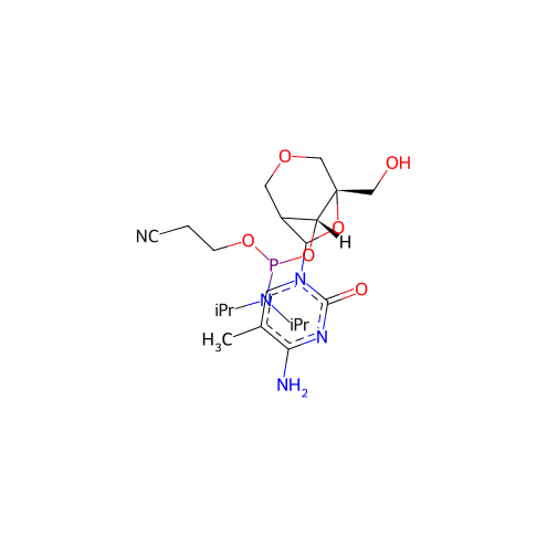 Cc1cn(C2O[C@@]3(CO)COCC2[C@H]3OP(OCCC#N)N(C(C)C)C(C)C)c(=O)nc1N